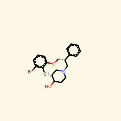 Cc1c(Br)cccc1OC[C@@H](CN1CCC(O)CC1)c1ccccc1